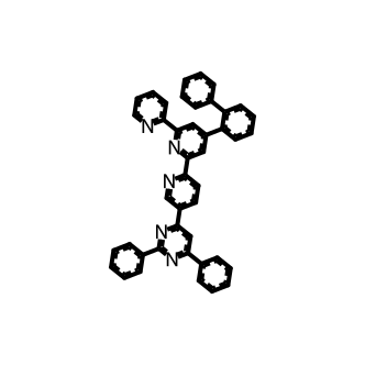 c1ccc(-c2cc(-c3ccc(-c4cc(-c5ccccc5-c5ccccc5)cc(-c5ccccn5)n4)nc3)nc(-c3ccccc3)n2)cc1